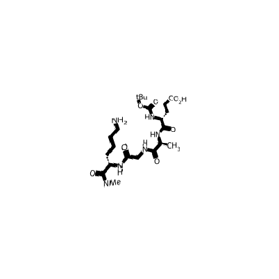 CNC(=O)[C@H](CCCCN)NC(=O)CNC(=O)[C@H](C)NC(=O)[C@@H](CCC(=O)O)NC(=O)OC(C)(C)C